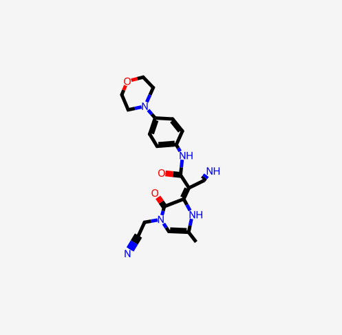 CC1=CN(CC#N)C(=O)/C(=C(/C=N)C(=O)Nc2ccc(N3CCOCC3)cc2)N1